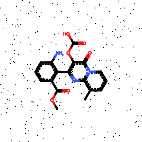 COC(=O)c1cccc(N)c1-c1nc2c(C)cccn2c(=O)c1OC(=O)O